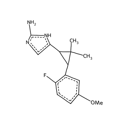 COc1ccc(F)c(C2C(c3cnc(N)[nH]3)C2(C)C)c1